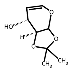 CC1(C)OC2OC=C[C@@H](O)[C@@H]2O1